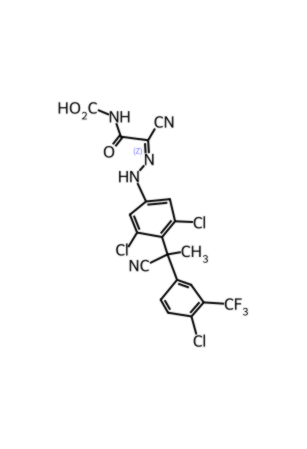 CC(C#N)(c1ccc(Cl)c(C(F)(F)F)c1)c1c(Cl)cc(N/N=C(/C#N)C(=O)NC(=O)O)cc1Cl